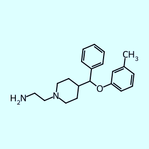 Cc1cccc(OC(c2ccccc2)C2CCN(CCN)CC2)c1